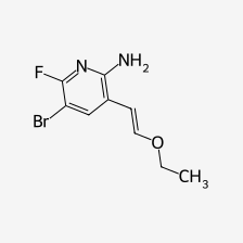 CCOC=Cc1cc(Br)c(F)nc1N